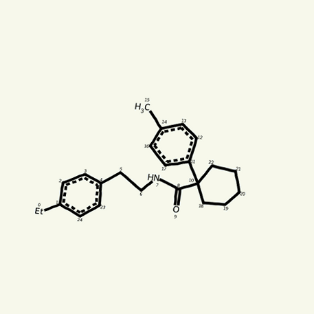 CCc1ccc(CCNC(=O)C2(c3ccc(C)cc3)CCCCC2)cc1